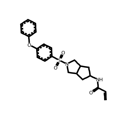 C=CC(=O)NC1CC2CN(S(=O)(=O)c3ccc(Oc4ccccc4)cc3)CC2C1